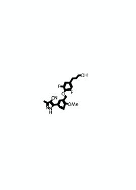 COc1ccc(-c2[nH]nc(C)c2C#N)cc1COc1c(F)cc(CCCO)cc1F